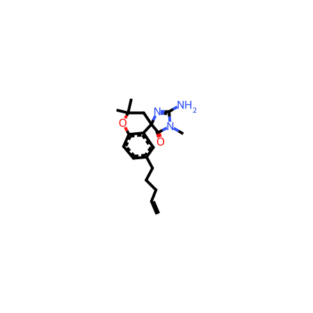 C=CCCCc1ccc2c(c1)C1(CC(C)(C)O2)N=C(N)N(C)C1=O